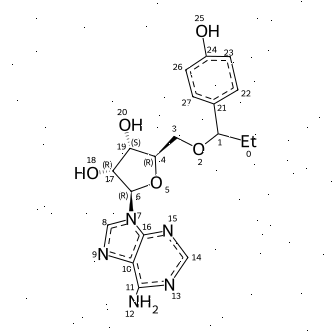 CCC(OC[C@H]1O[C@@H](n2cnc3c(N)ncnc32)[C@H](O)[C@@H]1O)c1ccc(O)cc1